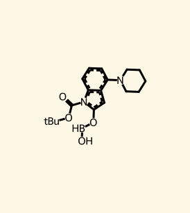 CC(C)(C)OC(=O)n1c(OBO)cc2c(N3CCCCC3)cccc21